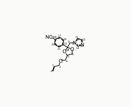 C=CCOCC1COC(Cn2ccnc2)(c2ccc(C#N)cc2)O1